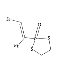 CC/C=C(\CC)P1(=O)SCCS1